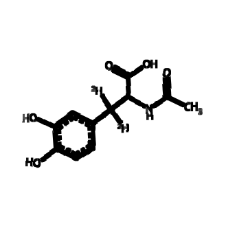 [2H]C([2H])(c1ccc(O)c(O)c1)C(NC(C)=O)C(=O)O